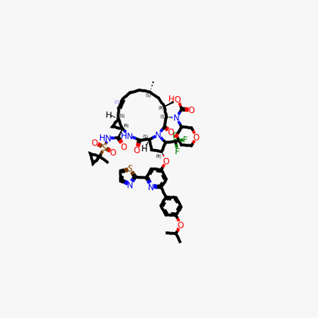 CC(C)Oc1ccc(-c2cc(O[C@@H]3C[C@H]4C(=O)N[C@]5(C(=O)NS(=O)(=O)C6(C)CC6)C[C@H]5/C=C\CC[C@H](C)C[C@@H](C)[C@H](N(C(=O)O)C5CCCOC5)C(=O)N4C3C(F)(F)F)cc(-c3nccs3)n2)cc1